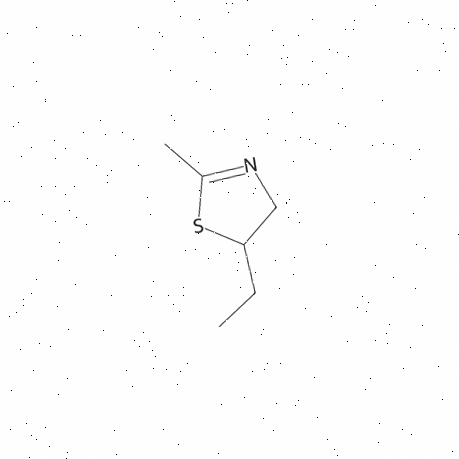 CCC1CN=C(C)S1